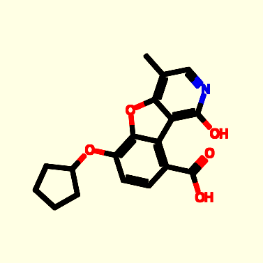 Cc1cnc(O)c2c1oc1c(OC3CCCC3)ccc(C(=O)O)c12